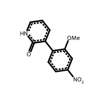 COc1cc([N+](=O)[O-])ccc1-c1ccc[nH]c1=O